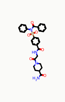 NC(=O)C1CCN(C(=O)CNC(=O)c2ccc(S(=O)(=O)N(C(=O)c3ccccc3)c3ccccc3)cc2)CC1